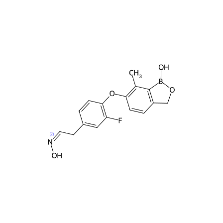 Cc1c(Oc2ccc(C/C=N\O)cc2F)ccc2c1B(O)OC2